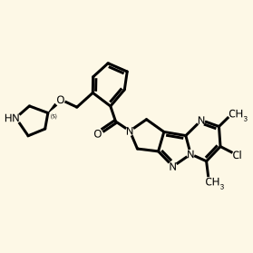 Cc1nc2c3c(nn2c(C)c1Cl)CN(C(=O)c1ccccc1CO[C@H]1CCNC1)C3